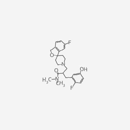 CN(C)C(=O)C(Cc1cc(O)ccc1F)CN1CCC2(CC1)OCc1ccc(F)cc12